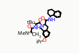 CN[C@@H](C)C(=O)N[C@H](C(=O)N1Cc2cc(OC(C)C)ccc2CC1C(=O)NC1CCCc2ccccc21)C(C)(C)C